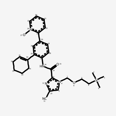 C[Si](C)(C)CCOCn1cc(C#N)nc1C(=O)Nc1ccc(-c2cccc[n+]2[O-])cc1C1=CCCCC1